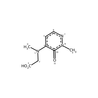 CN(CC(=O)O)c1ccnn(C)c1=O